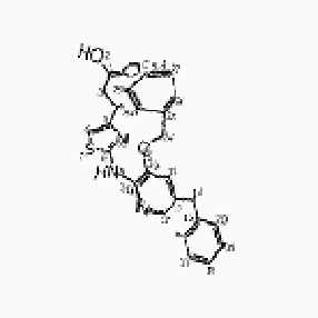 O=C(O)CCc1csc(Nc2ncc(Cc3ccccc3)cc2OCc2ccccc2)n1